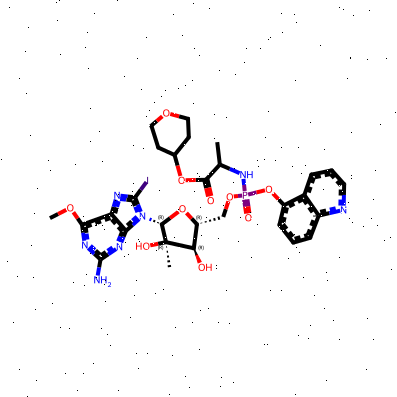 COc1nc(N)nc2c1nc(I)n2[C@@H]1O[C@H](COP(=O)(NC(C)C(=O)OC2CCOCC2)Oc2cccc3ncccc23)[C@@H](O)[C@@]1(C)O